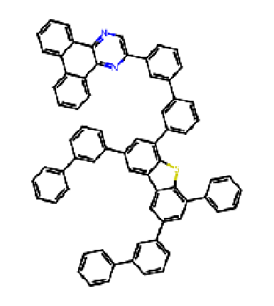 c1ccc(-c2cccc(-c3cc(-c4ccccc4)c4sc5c(-c6cccc(-c7cccc(-c8cnc9c%10ccccc%10c%10ccccc%10c9n8)c7)c6)cc(-c6cccc(-c7ccccc7)c6)cc5c4c3)c2)cc1